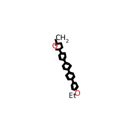 C=CC1CCC(c2ccc(-c3ccc(-c4ccc(-c5ccc(OCC)cc5)cc4)cc3)cc2)CO1